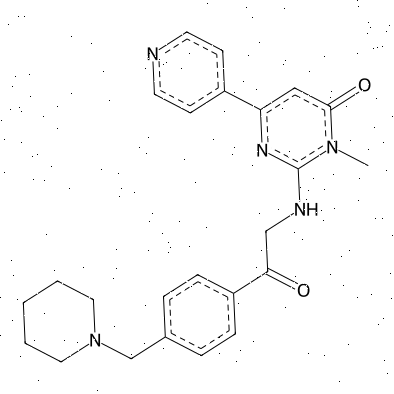 Cn1c(NCC(=O)c2ccc(CN3CCCCC3)cc2)nc(-c2ccncc2)cc1=O